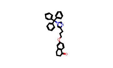 O=C1CCCc2cc(OCCCc3cn(C(c4ccccc4)(c4ccccc4)c4ccccc4)cn3)ccc21